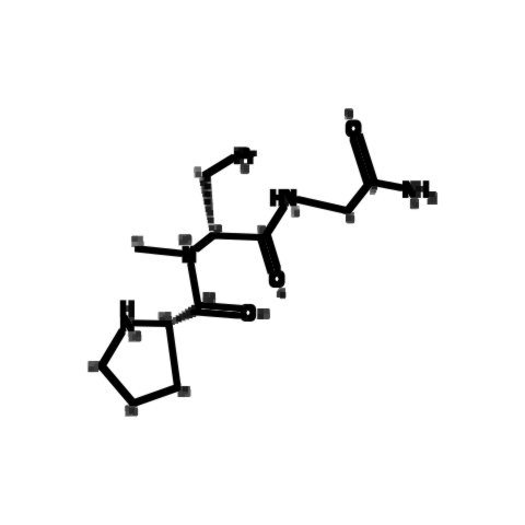 CC(C)C[C@H](C(=O)NCC(N)=O)N(C)C(=O)[C@@H]1CCCN1